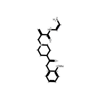 C=C(CN1CCC(C(=O)Cc2ccccc2OC)CC1)C(=O)N/C=C\N